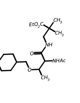 CCOC(=O)C(C)(C)CNC(=O)C(NC(C)=O)C(C)OCC1CCCCC1